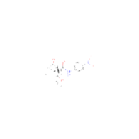 CC1(C)C2CC[C@]1(C)C(=O)C(C(=O)Nc1ccc([N+](=O)[O-])cc1)C2=O